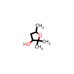 CC1CC(O)C(C)(C)O1